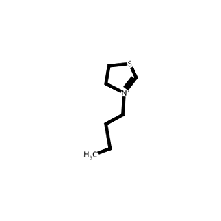 CCCC[N+]1=CSCC1